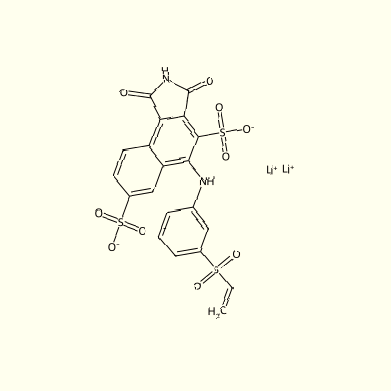 C=CS(=O)(=O)c1cccc(Nc2c(S(=O)(=O)[O-])c3c(c4ccc(S(=O)(=O)[O-])cc24)C(=O)NC3=O)c1.[Li+].[Li+]